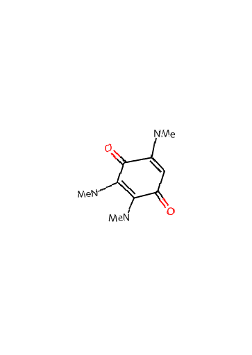 CNC1=CC(=O)C(NC)=C(NC)C1=O